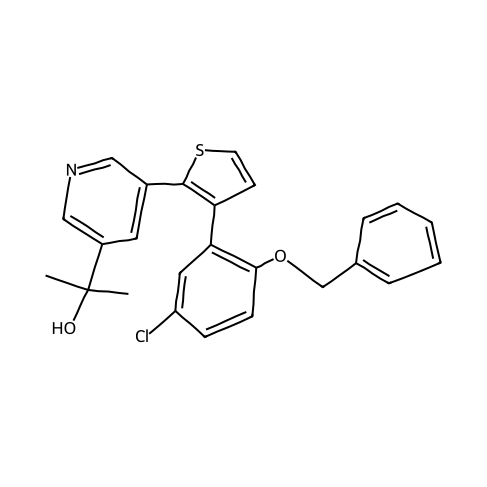 CC(C)(O)c1cncc(-c2sccc2-c2cc(Cl)ccc2OCc2ccccc2)c1